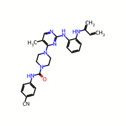 C=CC(=C)Nc1ccccc1Nc1ncc(C)c(N2CCN(C(=O)Nc3ccc(C#N)cc3)CC2)n1